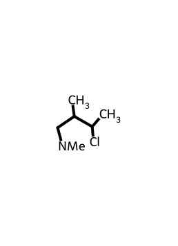 CNCC(C)C(C)Cl